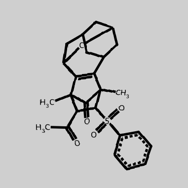 CC(=O)C1C(S(=O)(=O)c2ccccc2)C2(C)C(=O)C1(C)C1=C2C2CC3CC(CC1C3)C2